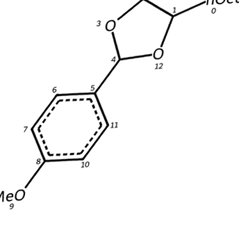 CCCCCCCCC1COC(c2ccc(OC)cc2)O1